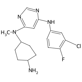 CN(c1cc(Nc2ccc(F)c(Cl)c2)ncn1)C1CCC(N)CC1